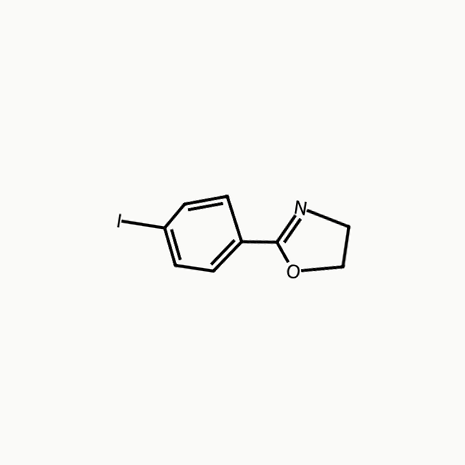 Ic1ccc(C2=NCCO2)cc1